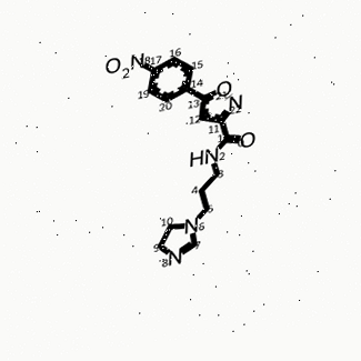 O=C(NCCCN1C=NCC1)c1cc(-c2ccc([N+](=O)[O-])cc2)on1